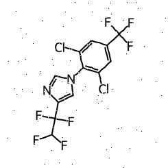 FC(F)C(F)(F)c1cn(-c2c(Cl)cc(C(F)(F)F)cc2Cl)cn1